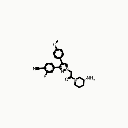 COc1ccc(-c2cn(CC(=O)N3CCC[C@@H](N)C3)nc2-c2ccc(C#N)c(F)c2)cc1